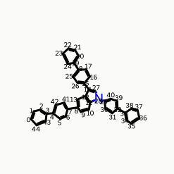 c1ccc(-c2ccc(-c3ccc4c(c3)c(-c3ccc(-c5ccccc5)cc3)cn4-c3ccc(-c4ccccc4)cc3)cc2)cc1